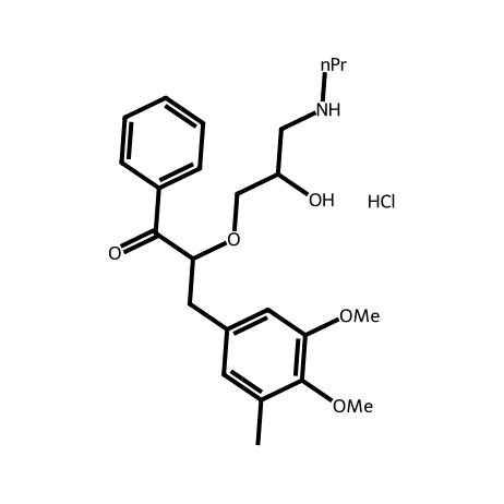 CCCNCC(O)COC(Cc1cc(C)c(OC)c(OC)c1)C(=O)c1ccccc1.Cl